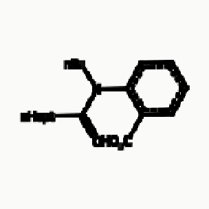 CCCCCCCC(=O)N(CCCC)c1ccccc1C(=O)O